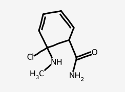 CNC1(Cl)C=CC=CC1C(N)=O